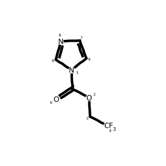 O=C(OCC(F)(F)F)n1ccnc1